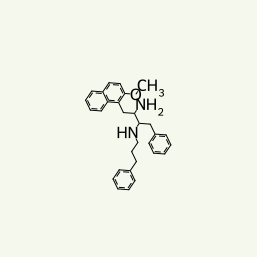 COc1ccc2ccccc2c1CC(N)C(Cc1ccccc1)NCCCc1ccccc1